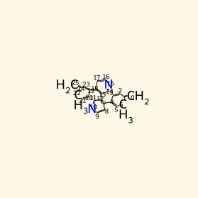 C=C/C=C\C(=C/C)c1ccncc1-c1cnccc1C(/C=C\C)=C/C=C